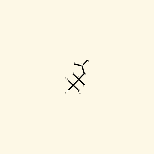 CN(C)CC(C)(C)C(F)(F)F